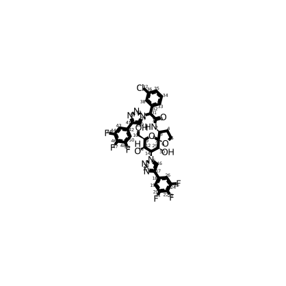 O=C(N[C@@H]1CCO[C@]12O[C@H](CO)[C@H](O)[C@H](n1cc(-c3cc(F)c(F)c(F)c3)nn1)[C@H]2O)C(c1cccc(Cl)c1)n1cc(-c2cc(F)c(F)c(F)c2)nn1